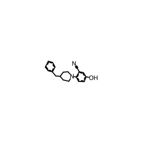 N#Cc1cc(O)ccc1N1CCC(Cc2ccccc2)CC1